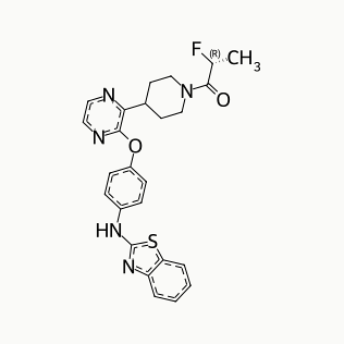 C[C@@H](F)C(=O)N1CCC(c2nccnc2Oc2ccc(Nc3nc4ccccc4s3)cc2)CC1